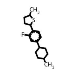 CC1CCC(c2ccc(C3CCC(C)S3)c(F)c2)CC1